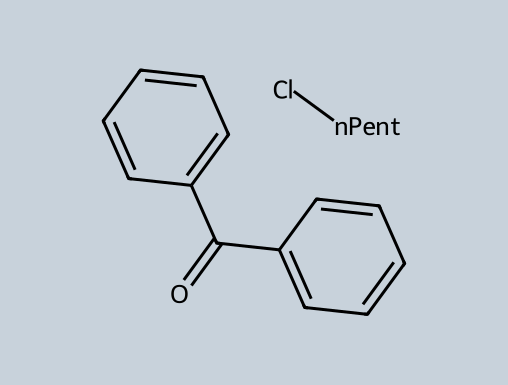 CCCCCCl.O=C(c1ccccc1)c1ccccc1